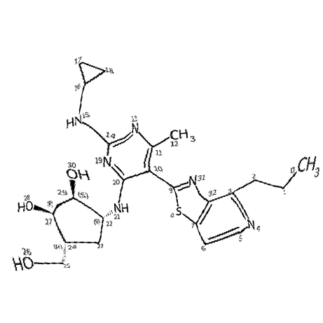 CCCc1nccc2sc(-c3c(C)nc(NC4CC4)nc3N[C@@H]3C[C@H](CO)[C@@H](O)[C@H]3O)nc12